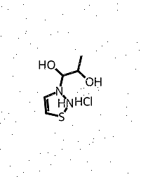 CC(O)C(O)N1C=CSN1.Cl